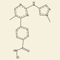 CCNC(=O)c1ccc(-c2nc(Nc3cnn(C)c3)ncc2C)cc1